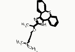 CC(OCCN(C)C)c1nc2c([nH]1)-c1ccccc1Sc1ccccc1-2